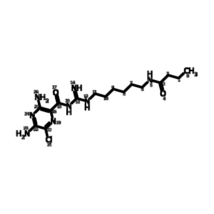 CCCC(=O)NCCCCCCNC(=N)NC(=O)c1nc(Cl)c(N)nc1N